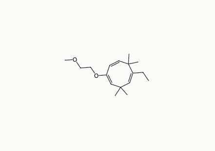 CC/C1=C/C(C)(C)/C=C(OCCOC)\C=C/C1(C)C